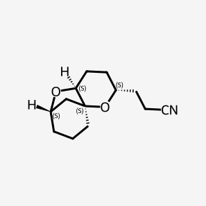 N#CCC[C@H]1CC[C@@H]2O[C@H]3CCC[C@@]2(C3)O1